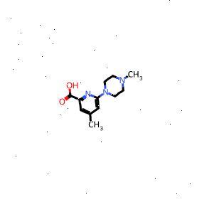 Cc1cc(C(=O)O)nc(N2CCN(C)CC2)c1